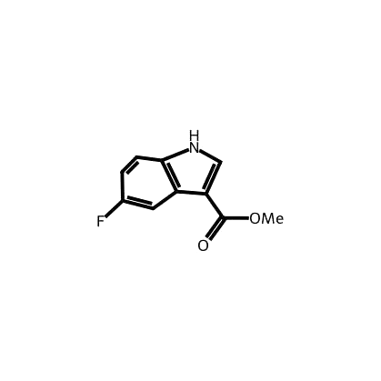 COC(=O)c1c[nH]c2ccc(F)cc12